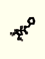 CC1=C(C(F)(F)F)NC(Cl)(C(=O)OCc2ccccc2)S1